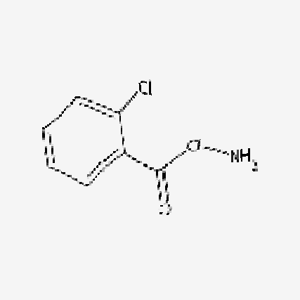 NOC(=O)c1ccccc1Cl